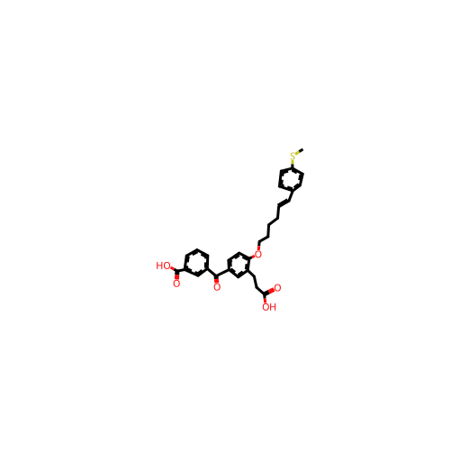 CSc1ccc(C=CCCCCOc2ccc(C(=O)c3cccc(C(=O)O)c3)cc2CCC(=O)O)cc1